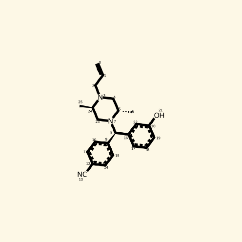 C=CCN1C[C@H](C)N([C@H](c2ccc(C#N)cc2)c2cccc(O)c2)C[C@H]1C